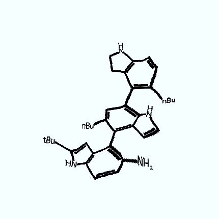 CCCCc1ccc2c(c1-c1cc(CCCC)c(-c3c(N)ccc4[nH]c(C(C)(C)C)cc34)c3cc[nH]c13)CCN2